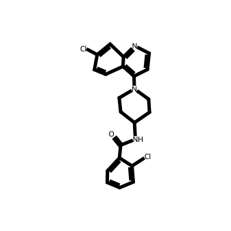 O=C(NC1CCN(c2ccnc3cc(Cl)ccc23)CC1)c1ccccc1Cl